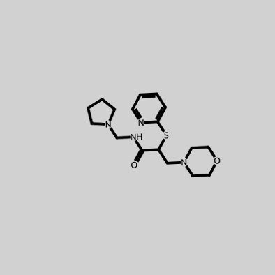 O=C(NCN1CCCC1)C(CN1CCOCC1)Sc1ccccn1